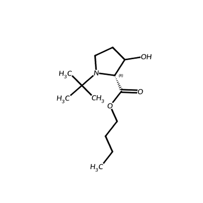 CCCCOC(=O)[C@H]1C(O)CCN1C(C)(C)C